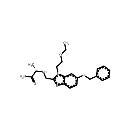 CCOCCn1c(CN[C@@H](C)C(N)=O)nc2ccc(OCc3ccccc3)cc21